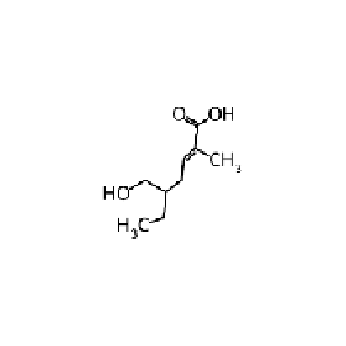 CCC(CO)C/C=C(\C)C(=O)O